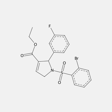 CCOC(=O)C1=CCN(S(=O)(=O)c2ccccc2Br)C1c1cccc(F)c1